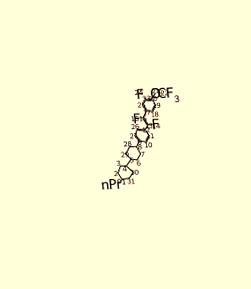 CCCC1CCC(C2CCC(c3ccc(/C(F)=C(\F)c4ccc(OC(F)(F)F)c(F)c4)cc3)CC2)CC1